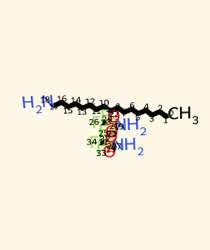 CCCCCCCCCCCCCCCCCCN.NS(=O)(=O)C(F)(F)F.NS(=O)(=O)C(F)(F)F